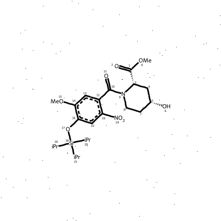 COC(=O)[C@@H]1C[C@H](O)CCN1C(=O)c1cc(OC)c(O[Si](C(C)C)(C(C)C)C(C)C)cc1[N+](=O)[O-]